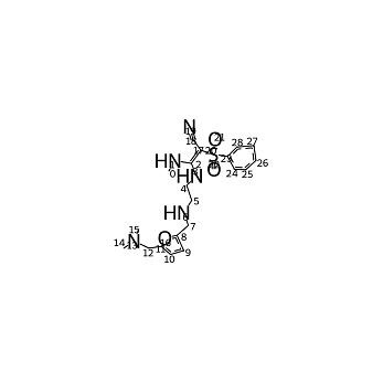 CNC(NCCNCc1ccc(CN(C)C)o1)=C(C#N)S(=O)(=O)c1ccccc1